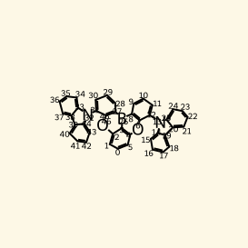 c1cc2c3c(c1)Oc1c(cccc1-n1c4ccccc4c4ccccc41)B3c1cccc(-n3c4ccccc4c4ccccc43)c1O2